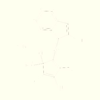 CC1=Cc2ccccc2[CH]1[Zr+2][C]1=C(C)C(C)=C(C)C1(C)C.[Br-].[Br-]